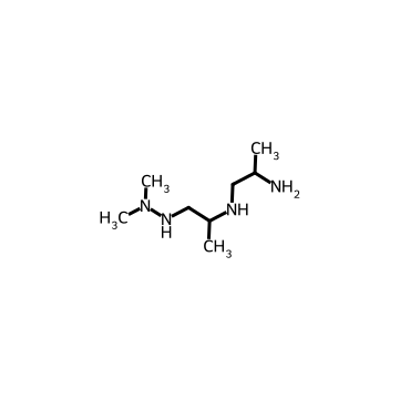 CC(N)CNC(C)CNN(C)C